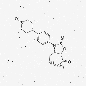 CC(=O)C1OC(=O)N(c2ccc(C3CC[S+]([O-])CC3)cc2)C1CN